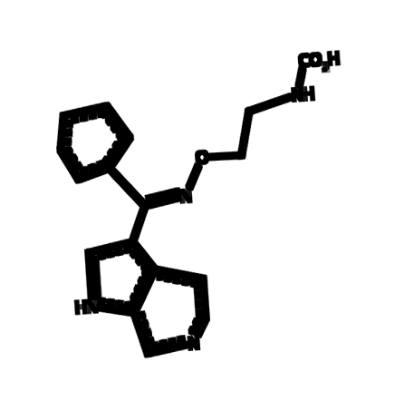 O=C(O)NCCON=C(c1ccccc1)c1c[nH]c2cnccc12